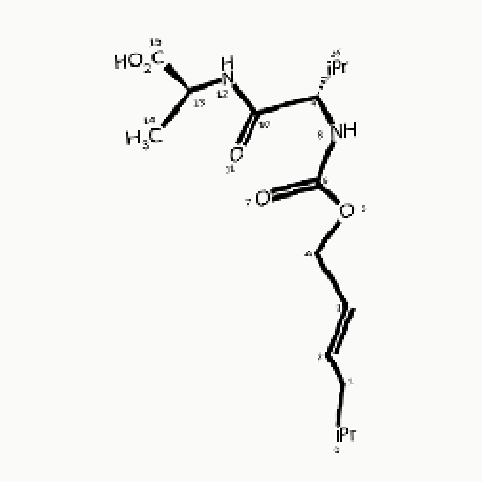 CC(C)C/C=C/COC(=O)N[C@H](C(=O)N[C@@H](C)C(=O)O)C(C)C